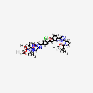 CCCN(Cc1nc(-c2ccc(-c3cc4cc(-c5cnc([C@@H]6CCCN6C(=O)CC(C)C)[nH]5)ccc4o3)c(Cl)c2)c[nH]1)C(=O)[C@@H](NC(=O)OC)C(C)C